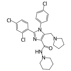 O=C(NN1CCCCC1)c1nc(-c2ccc(Cl)cc2Cl)n(-c2ccc(Cl)cc2)c1CN1CCCC1